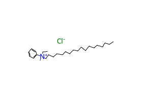 CCCCCCCCCCCCCCCCCC[N+](C)(CC)c1ccccc1.[Cl-]